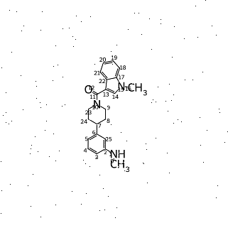 CNc1cccc(C2CCN(C(=O)c3cn(C)c4ccccc34)CC2)c1